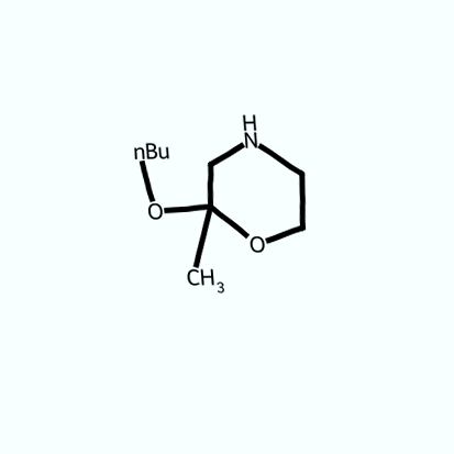 CCCCOC1(C)CNCCO1